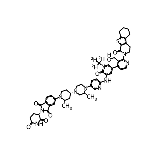 [2H]C([2H])([2H])n1cc(-c2ccnc(N3CCc4c(sc5c4CCCC5)C3=O)c2CO)cc(Nc2ccc(N3CCN([C@H]4CCN(c5ccc6c(c5)C(=O)N([C@H]5CCC(=O)NC5=O)C6=O)[C@H](C)C4)C[C@@H]3C)cn2)c1=O